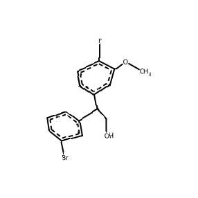 COc1cc(C(CO)c2cccc(Br)c2)ccc1F